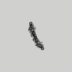 CC1CC2(C)C(OC(=O)OCOC(=O)OC3CCC4C5C(C)CC6=CC(=O)CCC6C5C(C)CC34C)CCC2C2C(C)CC3=CC(=O)CCC3C12